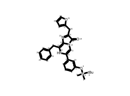 CC(C)(C)[Si](C)(C)Oc1cccc(-c2cn3c(=O)c(Cc4ccco4)nc-3c(Cc3ccccc3)[nH]2)c1